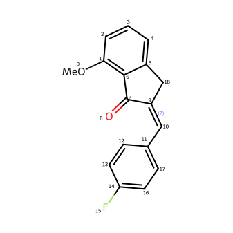 COc1cccc2c1C(=O)/C(=C\c1ccc(F)cc1)C2